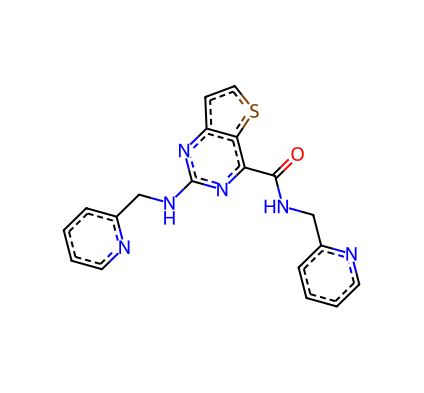 O=C(NCc1ccccn1)c1nc(NCc2ccccn2)nc2ccsc12